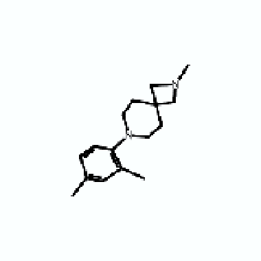 Cc1ccc(N2CCC3(CC2)CN(C)C3)c(C)c1